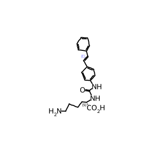 NCCCC[C@H](NC(=O)Nc1ccc(/C=C/c2ccccc2)cc1)C(=O)O